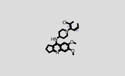 C/C=C\C(=C(/C)Cl)N1CCC(Nc2c3c(nc4cc(OC)c(OC)cc24)CCC3)CC1